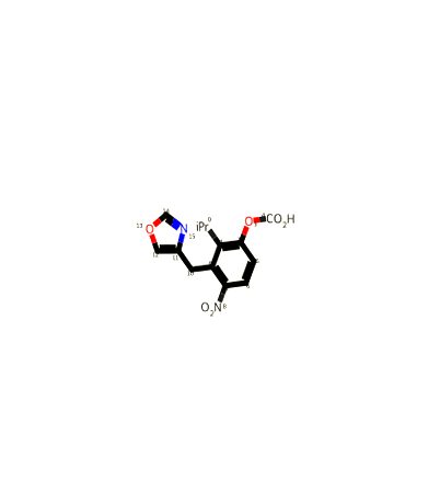 CC(C)c1c(OC(=O)O)ccc([N+](=O)[O-])c1Cc1cocn1